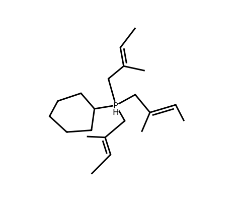 C/C=C(\C)C[PH](C/C(C)=C/C)(C/C(C)=C/C)C1CCCCC1